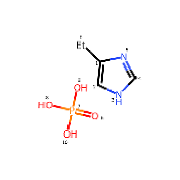 CCc1c[nH]cn1.O=P(O)(O)O